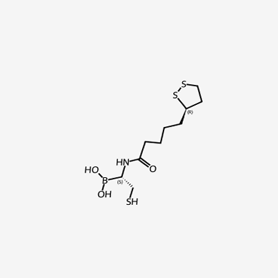 O=C(CCCC[C@@H]1CCSS1)N[C@H](CS)B(O)O